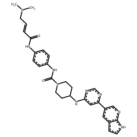 CN(C)C/C=C/C(=O)Nc1ccc(NC(=O)N2CCC(Nc3cc(-c4cnc5[nH]ccc5c4)ncn3)CC2)cc1